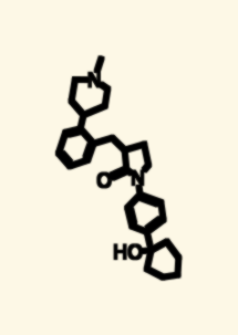 CN1CCC(c2ccccc2CC2CCN(c3ccc(C4(O)CCCCC4)cc3)C2=O)CC1